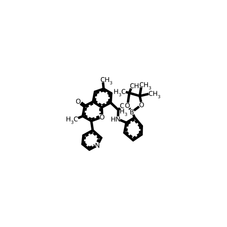 Cc1cc(C(C)Nc2ccccc2B2OC(C)(C)C(C)(C)O2)c2oc(-c3cccnc3)c(C)c(=O)c2c1